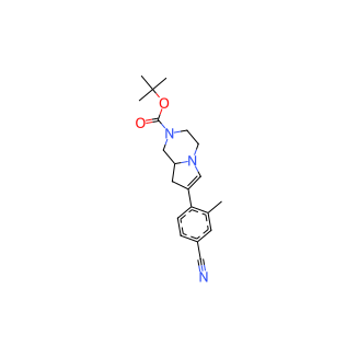 Cc1cc(C#N)ccc1C1=CN2CCN(C(=O)OC(C)(C)C)CC2C1